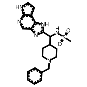 CS(=O)(=O)NC(c1nc2cnc3[nH]ccc3c2[nH]1)C1CCN(Cc2ccccc2)CC1